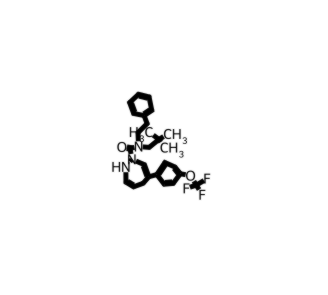 CC(C)(C)CN(CCc1ccccc1)C(=O)N1C=C(c2ccc(OC(F)(F)F)cc2)CC=CN1